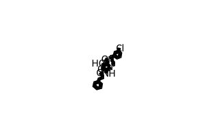 O=C(CCc1ccccc1)Nc1cn2ccn(Cc3cccc(Cl)c3)c(=O)c2c(O)c1=O